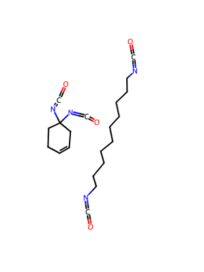 O=C=NC1(N=C=O)CC=CCC1.O=C=NCCCCCCCCCCN=C=O